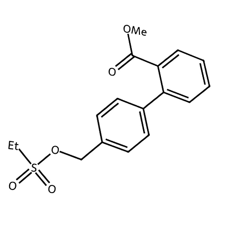 CCS(=O)(=O)OCc1ccc(-c2ccccc2C(=O)OC)cc1